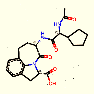 CC(=O)N[C@H](C(=O)N[C@H]1CCc2cccc3c2N(C1=O)[C@H](C(=O)O)C3)C1CCCC1